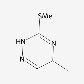 CSC1=NC(C)C=NN1